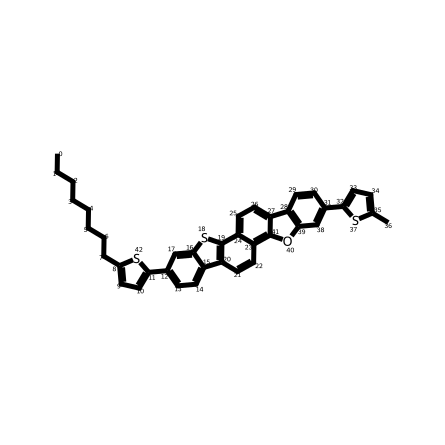 CCCCCCCCc1ccc(-c2ccc3c(c2)sc2c3ccc3c2ccc2c4ccc(-c5ccc(C)s5)cc4oc23)s1